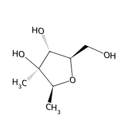 C[C@@H]1O[C@H](CO)[C@@H](O)[C@]1(C)O